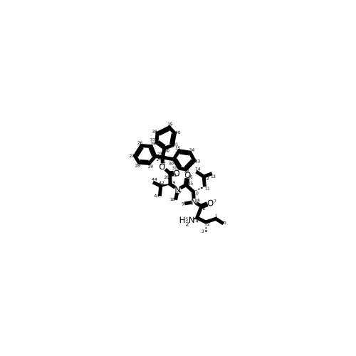 CC[C@H](C)[C@H](N)C(=O)N(C)[C@@H](CC(C)C)C(=O)N(C)[C@H](C(=O)OC(c1ccccc1)(c1ccccc1)c1ccccc1)C(C)C